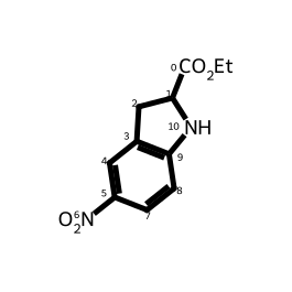 CCOC(=O)C1Cc2cc([N+](=O)[O-])ccc2N1